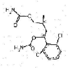 C[C@H](COC(N)=O)C[C@H](OC(N)=O)c1c(Cl)cccc1Cl